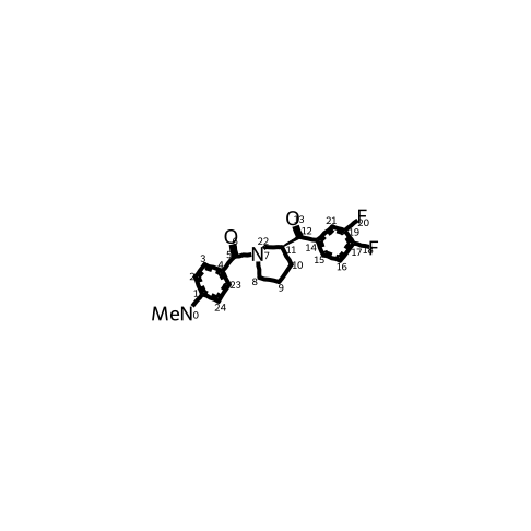 CNc1ccc(C(=O)N2CCC[C@H](C(=O)c3ccc(F)c(F)c3)C2)cc1